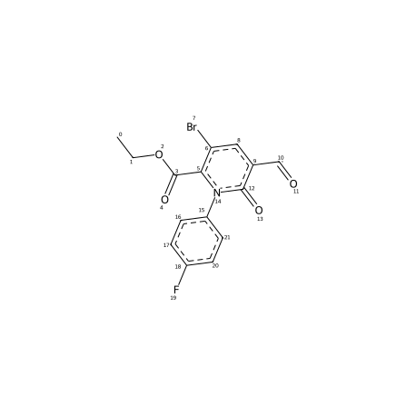 CCOC(=O)c1c(Br)cc([C]=O)c(=O)n1-c1ccc(F)cc1